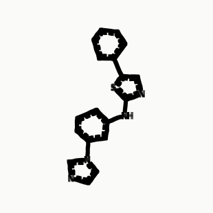 c1ccc(-c2cnc(Nc3cccc(-n4ccnc4)c3)s2)cc1